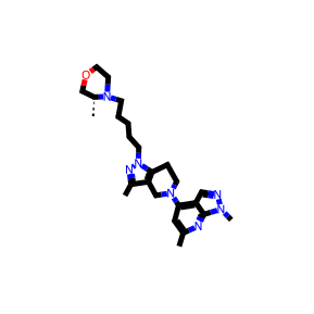 Cc1cc(N2CCc3c(c(C)nn3CCCCCN3CCOC[C@H]3C)C2)c2cnn(C)c2n1